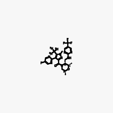 [2H]C([2H])([2H])c1c(-c2ncc(F)cn2)c(C(=O)N2C[C@@H](C)O[C@@H](C)[C@H]2CNc2ncc(C(F)(F)F)cn2)nn1C